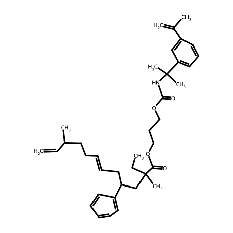 C=CC(C)CCC=CCC(CC(C)(CC)C(=O)OCCCOC(=O)NC(C)(C)c1cccc(C(=C)C)c1)c1ccccc1